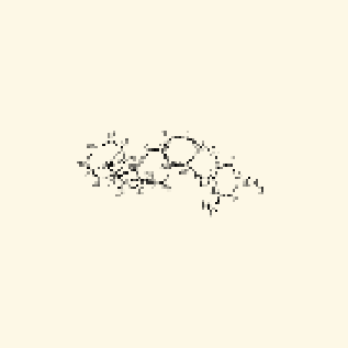 C[C@H]1CC(Oc2ccc3cc(CN4C5CCCC4CC(C(=O)O)C5)ccc3c2C(F)(F)F)C[C@H](C)C1